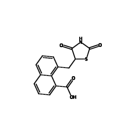 O=C1NC(=O)C(Cc2cccc3cccc(C(=O)O)c23)S1